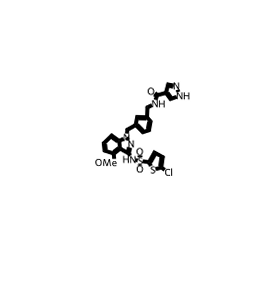 COc1cccc2c1c(NS(=O)(=O)c1ccc(Cl)s1)nn2Cc1cccc(CNC(=O)c2cn[nH]c2)c1